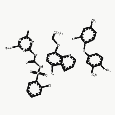 COc1nc(C)nc(NC(=O)NS(=O)(=O)c2ccccc2Cl)n1.O=C(O)COc1ccc(Cl)c2cccnc12.O=C(O)c1cc(Oc2ccc(C(F)(F)F)cc2Cl)ccc1[N+](=O)[O-]